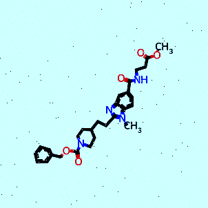 COC(=O)CCNC(=O)c1ccc2c(c1)nc(CCC1CCN(C(=O)OCc3ccccc3)CC1)n2C